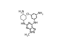 Cn1nnc2c(Nc3cc(N)cc(Cl)c3)nc(NC3CCC(N)CC3)nc21